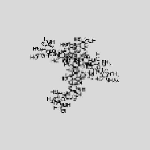 BOCC1OC(C)[C@@H](NC(C)=O)[C@@H](O)[C@@H]1OC1OC(CO)[C@@H](OC2OC(COC3OC(CO)[C@@H](O)[C@H](O)[C@H]3OC3OC(CO)[C@@H](OC4OC(COC5(C(=O)O)C[C@@H](O)[C@@H](C)C(C(O)[C@H](O)CO)O5)[C@H](O)[C@H](O)[C@@H]4O)[C@H](O)[C@@H]3NC(C)=O)[C@@H](O)[C@H](O[C@@H]3OC(CO)C(O)[C@H](O)[C@@H]3OC3OC(CO)[C@@H](OC4OC(COC5(C(=O)O)C[C@@H](O)[C@@H](C)C(C(O)[C@H](O)CO)O5)[C@H](O)[C@H](O)[C@@H]4O)[C@H](O)[C@@H]3NC(C)=O)[C@H]2O)[C@H](O)[C@@H]1NC(C)=O